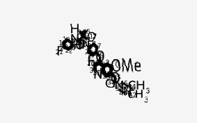 COc1cc2c(Oc3ccc(NC(=O)C4(C(=O)Nc5ccc(F)cc5)CC4)cc3F)ccnc2cc1OC(=O)N1CCN(C)[C@@H](C)C1